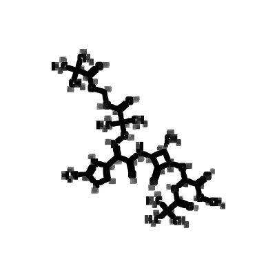 COC(=O)C(OC(=O)C(C)(C)C)ON1C(=O)[C@@H](NC(=O)/C(=N\OC(C)(C)C(=O)OCOC(=O)C(C)(C)C)c2csc(N)n2)[C@@H]1C